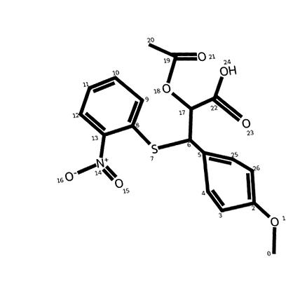 COc1ccc(C(Sc2ccccc2[N+](=O)[O-])C(OC(C)=O)C(=O)O)cc1